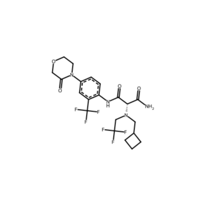 NC(=O)[C@@H](C(=O)Nc1ccc(N2CCOCC2=O)cc1C(F)(F)F)N(CC1CCC1)CC(F)(F)F